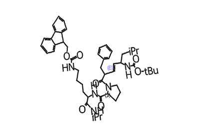 CC(C)CC(/C=C/C(Cc1ccccc1)C(=O)N1CCC[C@H]1C(=O)NC(CCCCNC(=O)OCC1c2ccccc2-c2ccccc21)C(=O)NC(C)C)NC(=O)OC(C)(C)C